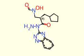 NN(C(=O)[C@H](CC1CCCC1)CN(O)C=O)c1nnc2ccccc2n1